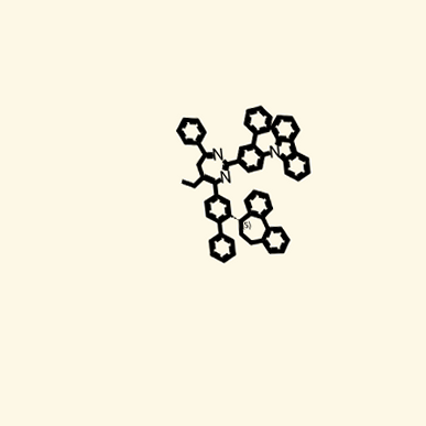 CCC1=C(c2ccc(-c3ccccc3)c([C@H]3CCc4ccccc4-c4ccccc43)c2)N=C(c2ccc(-n3c4ccccc4c4ccccc43)c(-c3ccccc3)c2)N=C(c2ccccc2)C1